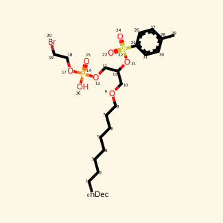 CCCCCCCCCCCCCCCCCCOCC(COP(=O)(O)OCCBr)OS(=O)(=O)c1ccc(C)cc1